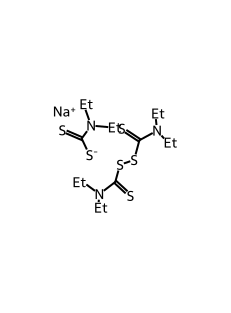 CCN(CC)C(=S)SSC(=S)N(CC)CC.CCN(CC)C(=S)[S-].[Na+]